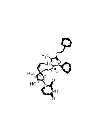 C[C@H](NP(=O)(OC[C@@]1(/C=C\Cl)O[C@@H](n2ccc(=O)[nH]c2=O)[C@H](O)[C@@H]1O)Oc1ccccc1)C(=O)OCc1ccccc1